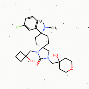 CN(C)[C@]1(c2cccc(F)c2)CC[C@]2(CC1)CN(CC1(O)CCOCC1)C(=O)N2CC1(O)CCC1